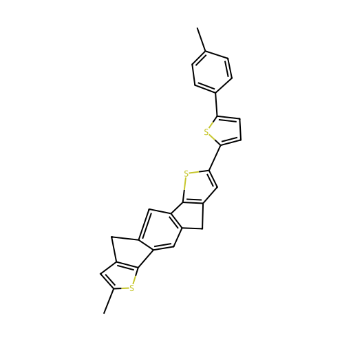 Cc1ccc(-c2ccc(-c3cc4c(s3)-c3cc5c(cc3C4)-c3sc(C)cc3C5)s2)cc1